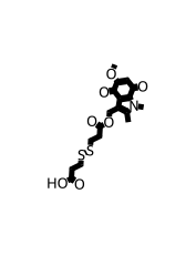 COC1=CC(=O)c2c(c(COC(=O)CCSSCCC(=O)O)c(C)n2C)C1=O